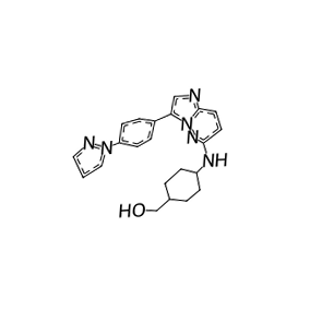 OCC1CCC(Nc2ccc3ncc(-c4ccc(-n5cccn5)cc4)n3n2)CC1